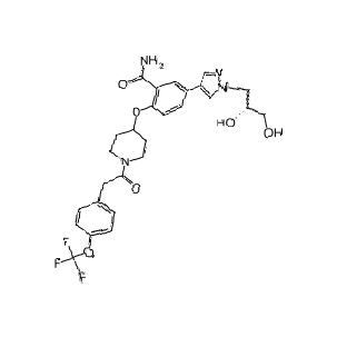 NC(=O)c1cc(-c2cnn(C[C@@H](O)CO)c2)ccc1OC1CCN(C(=O)Cc2ccc(OC(F)(F)F)cc2)CC1